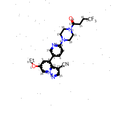 CCOc1cc(-c2ccc(N3CCN(C(=O)CCC(F)(F)F)CC3)nc2)c2c(C#N)cnn2c1